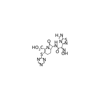 Nc1nc(/C(=N/O)C(=O)N[C@@H]2C(=O)N3C(C(=O)O)=C(Sc4ncncn4)CCC23)ns1